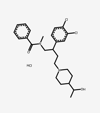 CC(O)C1CCN(CCC(CN(C)C(=O)c2ccccc2)c2ccc(Cl)c(Cl)c2)CC1.Cl